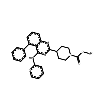 CN(c1ccccn1)c1nc(C2CCN(C(=O)OC(C)(C)C)CC2)nc2cccc(-c3ccccc3)c12